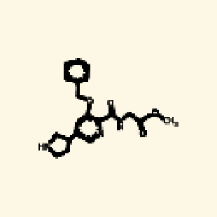 COC(=O)CNC(=O)c1ncc(C2CCNC2)cc1OCc1ccccc1